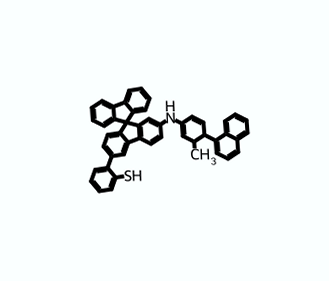 CC1C=C(Nc2ccc3c(c2)C2(c4ccccc4-c4ccccc42)c2ccc(-c4ccccc4S)cc2-3)C=CC1c1cccc2ccccc12